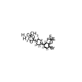 CC(C)(C)OC(=O)N1CCN(c2ccc(Br)c(OC(F)(F)F)c2)CC1